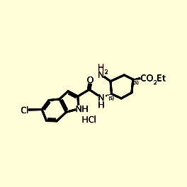 CCOC(=O)[C@H]1CC[C@H](NC(=O)c2cc3cc(Cl)ccc3[nH]2)C(N)C1.Cl